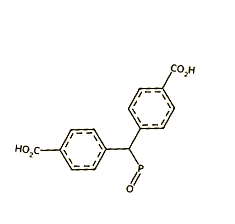 O=PC(c1ccc(C(=O)O)cc1)c1ccc(C(=O)O)cc1